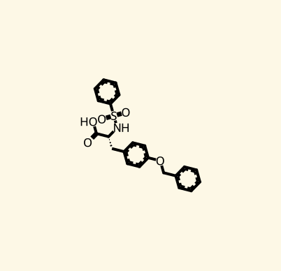 O=C(O)[C@@H](Cc1ccc(OCc2ccccc2)cc1)NS(=O)(=O)c1ccccc1